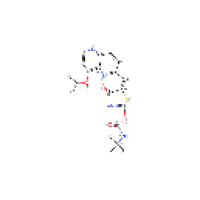 CC(C)Oc1ccnc2ccc(C=C3SC(OC(=O)NC(C)(C)C)=NC3=O)nc12